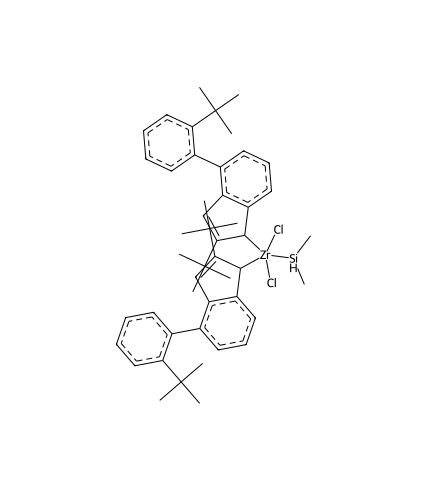 C[SiH](C)[Zr]([Cl])([Cl])([CH]1C(C(C)(C)C)=Cc2c(-c3ccccc3C(C)(C)C)cccc21)[CH]1C(C(C)(C)C)=Cc2c(-c3ccccc3C(C)(C)C)cccc21